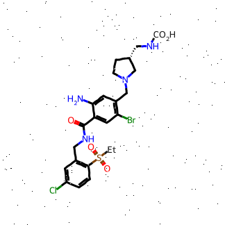 CCS(=O)(=O)c1ccc(Cl)cc1CNC(=O)c1cc(Br)c(CN2CC[C@H](CNC(=O)O)C2)cc1N